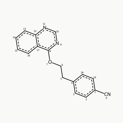 N#Cc1ccc(CCOc2ncnc3ccccc23)cc1